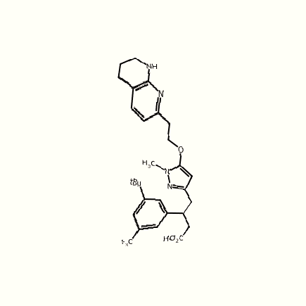 Cn1nc(CC(CC(=O)O)c2cc(C(C)(C)C)cc(C(F)(F)F)c2)cc1OCCc1ccc2c(n1)NCCC2